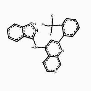 FC(F)(F)c1ccccc1-c1cc(Nc2n[nH]c3ccccc23)c2ccncc2n1